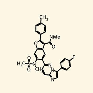 CNC(=O)c1c(-c2ccc(C)cc2)oc2cc(N(C)S(C)(=O)=O)c(-c3ccc4ncc(-c5ccc(F)cc5)n4n3)cc12